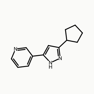 c1cncc(-c2cc(C3CCCC3)n[nH]2)c1